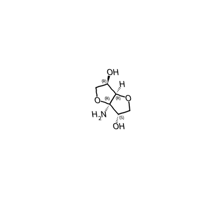 N[C@]12OC[C@@H](O)[C@H]1OC[C@@H]2O